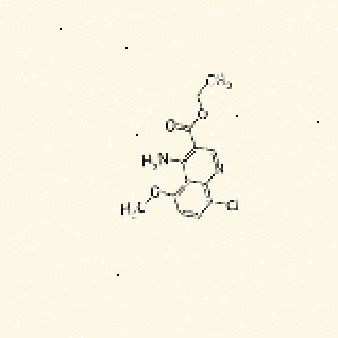 CCOC(=O)c1cnc2c(Cl)ccc(OC)c2c1N